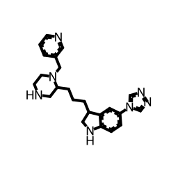 c1cncc(CN2CCNCC2CCCC2CNc3ccc(-n4cnnc4)cc32)c1